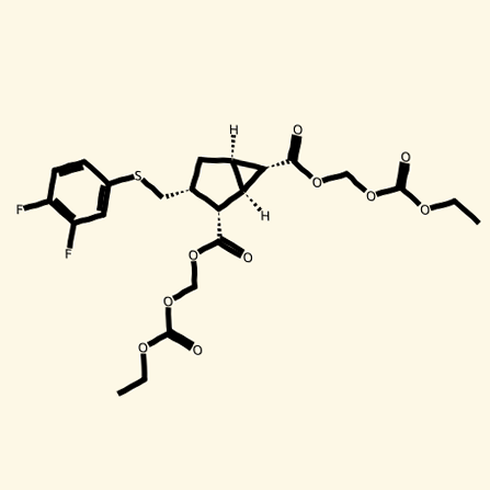 CCOC(=O)OCOC(=O)[C@@H]1[C@H](CSc2ccc(F)c(F)c2)C[C@H]2[C@H](C(=O)OCOC(=O)OCC)[C@H]21